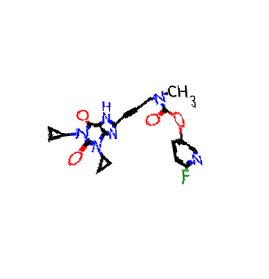 CN(CC#Cc1nc2c([nH]1)c(=O)n(C1CC1)c(=O)n2C1CC1)C(=O)Oc1ccc(F)nc1